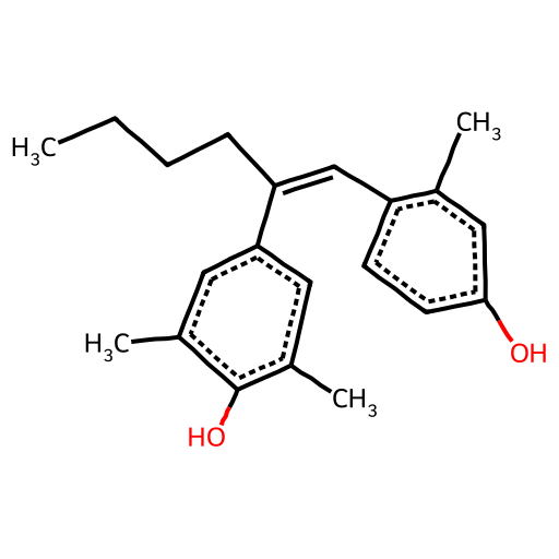 CCCCC(=Cc1ccc(O)cc1C)c1cc(C)c(O)c(C)c1